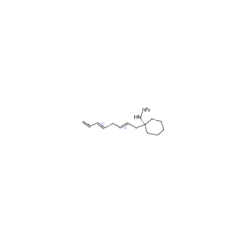 C=C/C=C/C/C=C/CC1(NCCC)CCCCC1